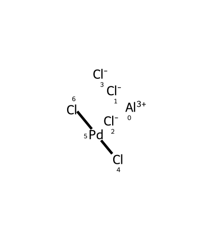 [Al+3].[Cl-].[Cl-].[Cl-].[Cl][Pd][Cl]